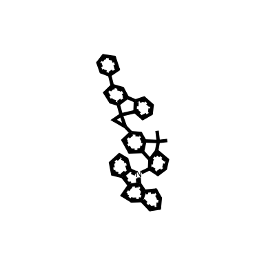 CC1(C)c2cc(C3CC34c3ccccc3-c3cc(-c5ccccc5)ccc34)ccc2-c2c(-n3c4ccccc4c4ccc5ccccc5c43)cccc21